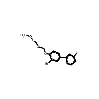 COCCOCOc1ccc(-c2cccc(F)c2)cc1Br